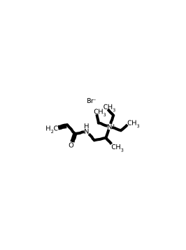 C=CC(=O)NCC(C)[N+](CC)(CC)CC.[Br-]